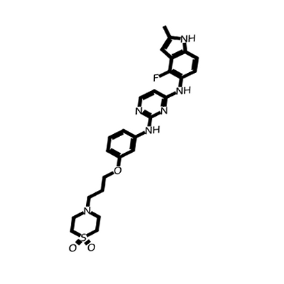 Cc1cc2c(F)c(Nc3ccnc(Nc4cccc(OCCCN5CCS(=O)(=O)CC5)c4)n3)ccc2[nH]1